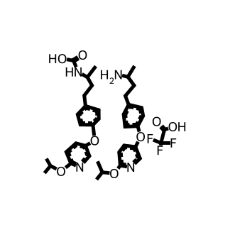 CC(CCc1ccc(Oc2ccc(OC(C)C)nc2)cc1)NC(=O)O.CC(N)CCc1ccc(Oc2ccc(OC(C)C)nc2)cc1.O=C(O)C(F)(F)F